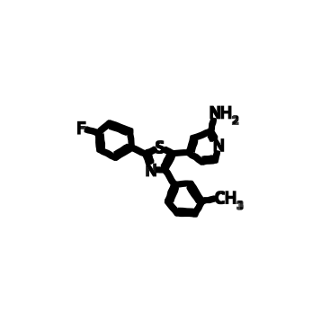 Cc1cccc(-c2nc(-c3ccc(F)cc3)sc2-c2ccnc(N)c2)c1